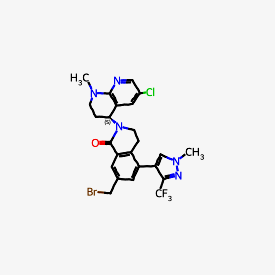 CN1CC[C@H](N2CCc3c(cc(CBr)cc3-c3cn(C)nc3C(F)(F)F)C2=O)c2cc(Cl)cnc21